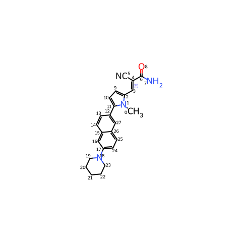 Cn1c(/C=C(\C#N)C(N)=O)ccc1-c1ccc2cc(N3CCCCC3)ccc2c1